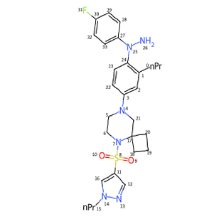 CCCc1cc(N2CCN(S(=O)(=O)c3cnn(CCC)c3)C3(CCC3)C2)ccc1N(N)c1ccc(F)cc1